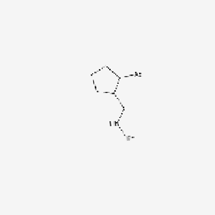 CC(=O)C1CCCC1CNC(C)C